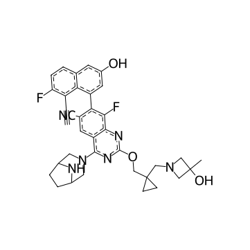 C#Cc1c(F)ccc2cc(O)cc(-c3c(C#N)cc4c(N5CC6CCC(C5)N6)nc(OCC5(CN6CC(C)(O)C6)CC5)nc4c3F)c12